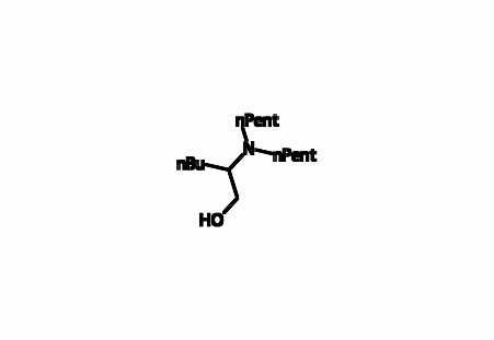 CCCCCN(CCCCC)C(CO)CCCC